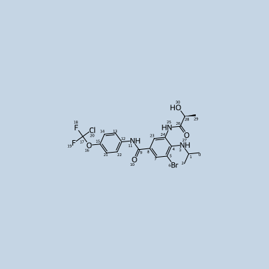 CC(C)Nc1c(Br)cc(C(=O)Nc2ccc(OC(F)(F)Cl)cc2)cc1NC(=O)[C@H](C)O